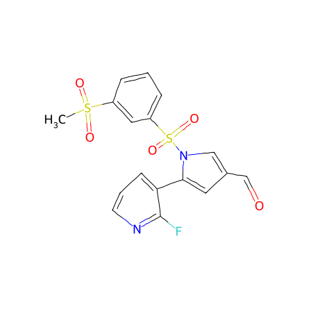 CS(=O)(=O)c1cccc(S(=O)(=O)n2cc(C=O)cc2-c2cccnc2F)c1